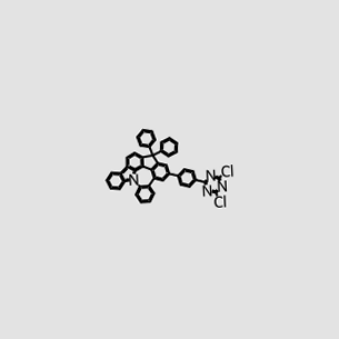 Clc1nc(Cl)nc(-c2ccc(-c3cc4c5c(c3)C(c3ccccc3)(c3ccccc3)c3ccc6c7ccccc7n(c6c3-5)-c3ccccc3-4)cc2)n1